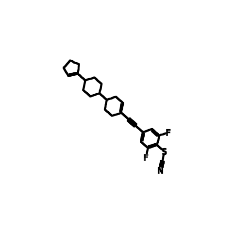 N#CSc1c(F)cc(C#CC2=CCC(C3CCC(C4=CCCC4)CC3)CC2)cc1F